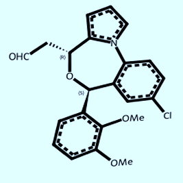 COc1cccc([C@H]2O[C@H](CC=O)c3cccn3-c3ccc(Cl)cc32)c1OC